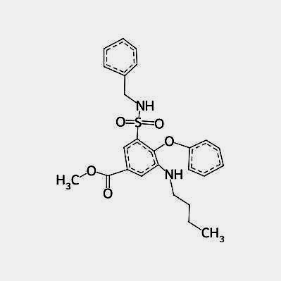 CCCCNc1cc(C(=O)OC)cc(S(=O)(=O)NCc2ccccc2)c1Oc1ccccc1